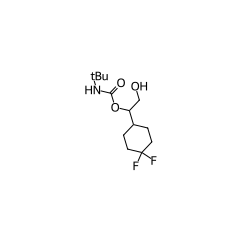 CC(C)(C)NC(=O)OC(CO)C1CCC(F)(F)CC1